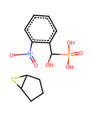 C1CC2SC2C1.O=[N+]([O-])c1ccccc1C(O)P(=O)(O)O